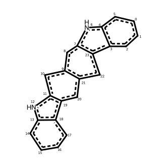 c1ccc2c(c1)[nH]c1cc3cc4[nH]c5ccccc5c4cc3cc12